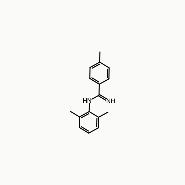 Cc1ccc(C(=N)Nc2c(C)cccc2C)cc1